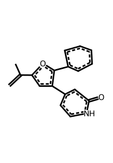 C=C(C)c1cc(-c2cc[nH]c(=O)c2)c(-c2ccccc2)o1